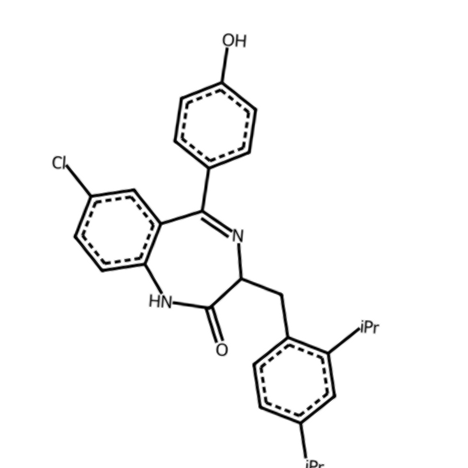 CC(C)c1ccc(CC2N=C(c3ccc(O)cc3)c3cc(Cl)ccc3NC2=O)c(C(C)C)c1